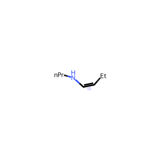 CC/C=C\NCCC